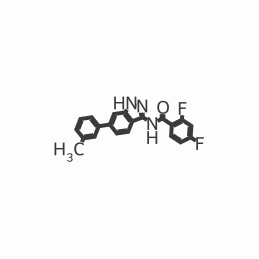 Cc1cccc(-c2ccc3c(NC(=O)c4ccc(F)cc4F)n[nH]c3c2)c1